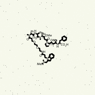 CC[C@H](C)[C@@H]([C@@H](CC(=O)N1CCC[C@H]1[C@H](OC)[C@@H](C)C(=O)N[C@@H](Cc1ccccc1)C(=O)O)OC)N(C)C(=O)C(NC(=O)[C@H](C(C)C)N(C)C(=O)CCOCCOCCNC(=O)CCn1c(CN(C)NC)cc2ccccc21)C(C)C